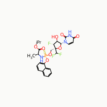 CC(C)OC(=O)[C@H](C)NP(=S)(OC[C@@]1(C(F)F)O[C@@H](n2ccc(=O)[nH]c2=O)[C@H](O)[C@H]1F)Oc1cccc2ccccc12